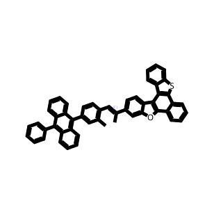 C/C(=C\c1ccc(-c2c3ccccc3c(-c3ccccc3)c3ccccc23)cc1C)c1ccc2c(c1)oc1c3ccccc3c3sc4ccccc4c3c21